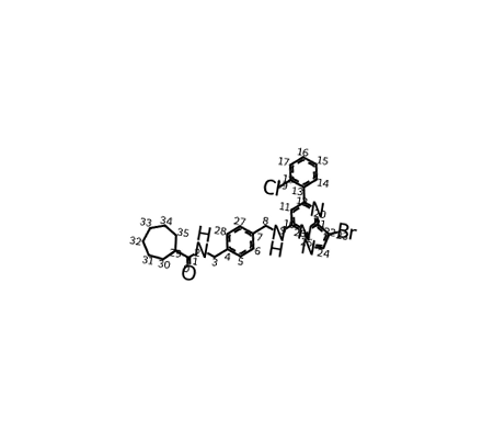 O=C(NCc1ccc(CNc2cc(-c3ccccc3Cl)nc3c(Br)cnn23)cc1)C1CCCCCC1